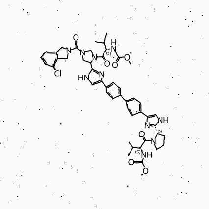 COC(=O)N[C@H](C(=O)N1CN(C(=O)N2Cc3cccc(Cl)c3C2)CC1c1nc(-c2ccc(-c3ccc(-c4c[nH]c([C@@H]5CCCN5C(=O)[C@@H](NC(=O)OC)C(C)C)n4)cc3)cc2)c[nH]1)C(C)C